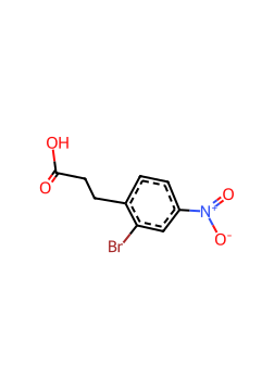 O=C(O)CCc1ccc([N+](=O)[O-])cc1Br